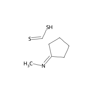 CN=C1CCCC1.S=CS